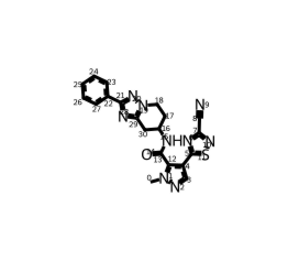 Cn1ncc(-c2nc(C#N)ns2)c1C(=O)NC1CCn2nc(-c3ccccc3)nc2C1